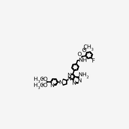 COc1ccc(F)cc1C(=O)NCc1ccc(-c2nn(C3CCN(c4ccc(C(OC)OC)nc4)C3)c3ncnc(N)c23)cc1